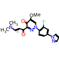 COc1cn(-c2ccc(-n3cccn3)cc2F)nc(C(=O)/C=C/N(C)C)c1=O